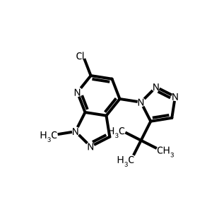 Cn1ncc2c(-n3nncc3C(C)(C)C)cc(Cl)nc21